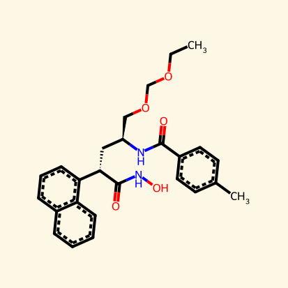 CCOCOC[C@H](C[C@H](C(=O)NO)c1cccc2ccccc12)NC(=O)c1ccc(C)cc1